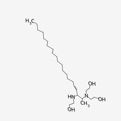 CCCCCCCCCCCCCCCCC=CC(NCCO)C(C)N(CCO)CCO